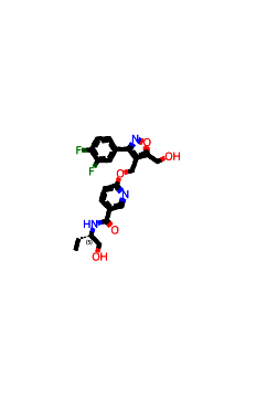 CC[C@@H](CO)NC(=O)c1ccc(OCc2c(-c3ccc(F)c(F)c3)noc2CO)nc1